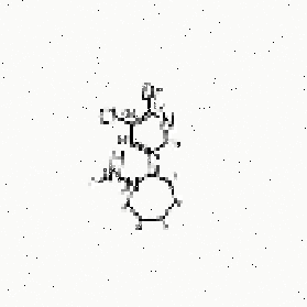 CNN1CCCCCC1c1cnc(Br)c(Cl)c1